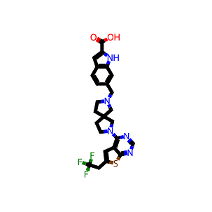 O=C(O)c1cc2ccc(CN3CCC4(CCN(c5ncnc6sc(CC(F)(F)F)cc56)C4)C3)cc2[nH]1